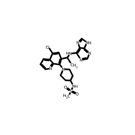 CC(Nc1ncnc2[nH]cnc12)c1cc(Cl)c2cccnc2c1N1CCC(NS(C)(=O)=O)CC1